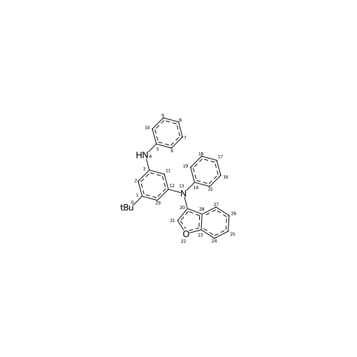 CC(C)(C)c1cc(Nc2ccccc2)cc(N(c2ccccc2)c2coc3ccccc23)c1